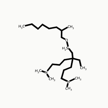 CCCCCCC(C)CO[SiH2]CC(CC)(CCCN(C)C)CCCN(C)C